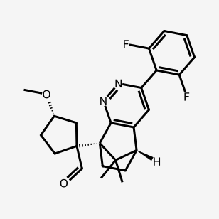 CO[C@H]1CCC(C=O)([C@]23CC[C@@H](c4cc(-c5c(F)cccc5F)nnc42)C3(C)C)C1